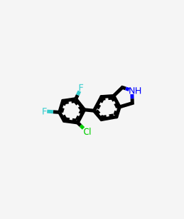 Fc1cc(F)c(-c2ccc3c(c2)CNC3)c(Cl)c1